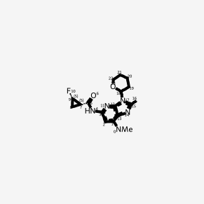 CNc1cc(NC(=O)[C@@H]2C[C@@H]2F)nc2c1nc(C)n2C1CCCCO1